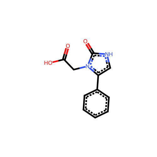 O=C(O)Cn1c(-c2ccccc2)c[nH]c1=O